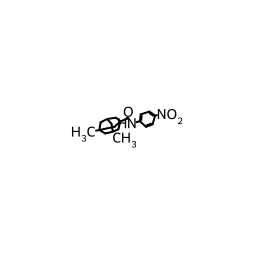 CC12CC3CC(C)(C1)CC(C(=O)Nc1ccc([N+](=O)[O-])cc1)(C3)C2